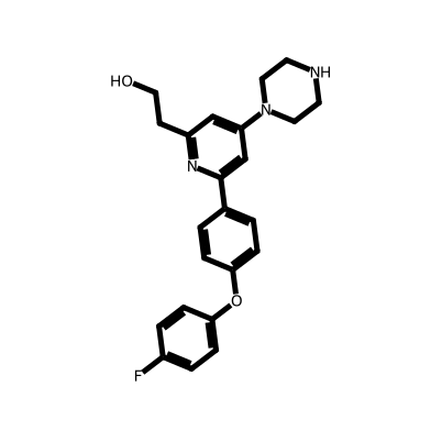 OCCc1cc(N2CCNCC2)cc(-c2ccc(Oc3ccc(F)cc3)cc2)n1